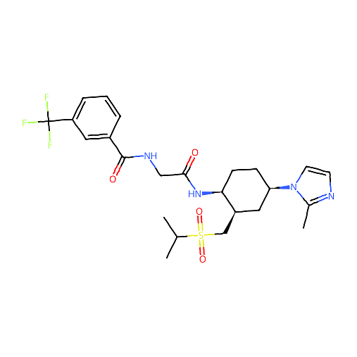 Cc1nccn1[C@@H]1CC[C@H](NC(=O)CNC(=O)c2cccc(C(F)(F)F)c2)[C@H](CS(=O)(=O)C(C)C)C1